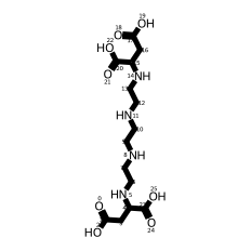 O=C(O)CC(NCCNCCNCCNC(CC(=O)O)C(=O)O)C(=O)O